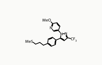 COc1ccc(-n2nc(C(F)(F)F)cc2-c2ccc(CCCSC)cc2)cn1